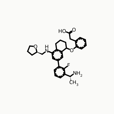 C[C@@H](N)c1cccc(-c2cc(NC[C@H]3CCCO3)c3c(c2)C(Oc2ccccc2CC(=O)O)CCC3)c1F